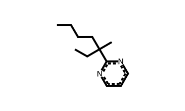 CCCCC(C)(CC)c1ncccn1